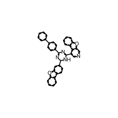 c1ccc(-c2ccc(C3=NC(c4ccc5c(c4)oc4ccccc45)NC(c4cncc5oc6ccccc6c45)=N3)cc2)cc1